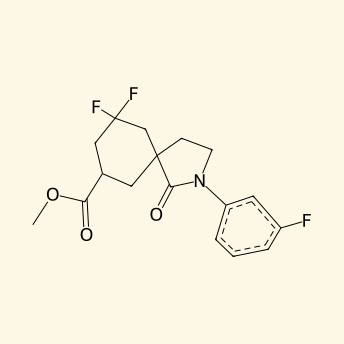 COC(=O)C1CC(F)(F)CC2(CCN(c3cccc(F)c3)C2=O)C1